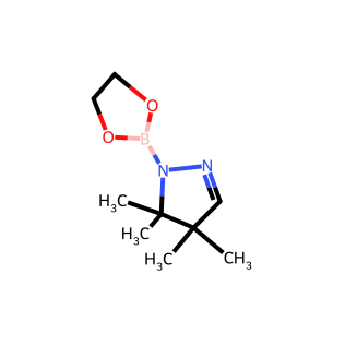 CC1(C)C=NN(B2OCCO2)C1(C)C